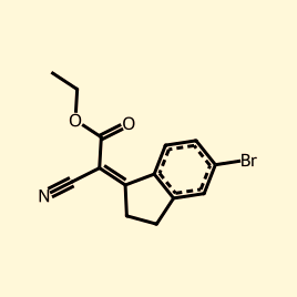 CCOC(=O)C(C#N)=C1CCc2cc(Br)ccc21